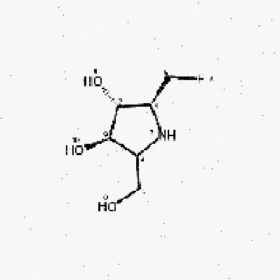 OCC1N[C@H](CF)[C@@H](O)[C@@H]1O